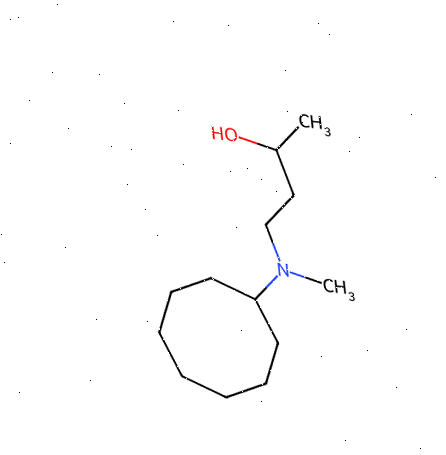 CC(O)CCN(C)C1CCCCCCC1